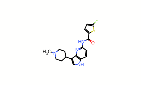 CN1CCC(c2c[nH]c3ccc(NC(=O)c4ccc(F)s4)nc23)CC1